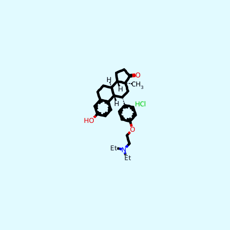 CCN(CC)CCOc1ccc([C@H]2C[C@]3(C)C(=O)CC[C@H]3[C@@H]3CCc4cc(O)ccc4[C@H]32)cc1.Cl